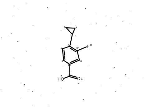 O=C(O)c1ccc(C2CC2)c(F)c1